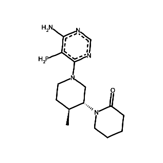 C[C@H]1CCN(c2ncnc(N)c2P)C[C@@H]1N1CCCCC1=O